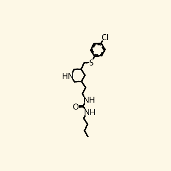 CCCCNC(=O)NCCC1CNCC(CSc2ccc(Cl)cc2)C1